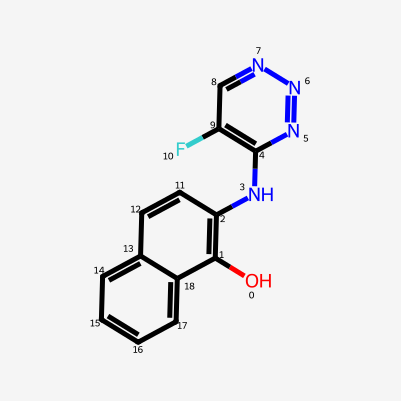 Oc1c(Nc2nnncc2F)ccc2ccccc12